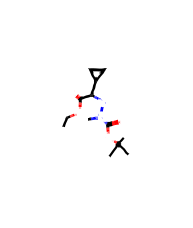 CCOC(=O)C(NN(C)C(=O)OC(C)(C)C)C1CC1